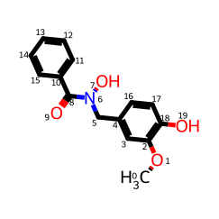 COc1cc(CN(O)C(=O)c2ccccc2)ccc1O